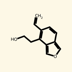 C=Cc1ccc2cocc2c1CCO